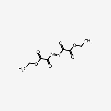 CCOC(=O)C(=O)N=NC(=O)C(=O)OCC